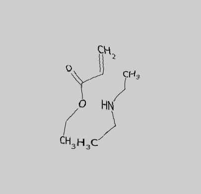 C=CC(=O)OCC.CCNCC